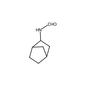 O=CNC1CC2CCC1C2